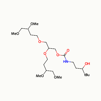 COCC(CCOCC(COC(=O)NCCC(O)C(C)(C)C)OCCC(COC)OC)OC